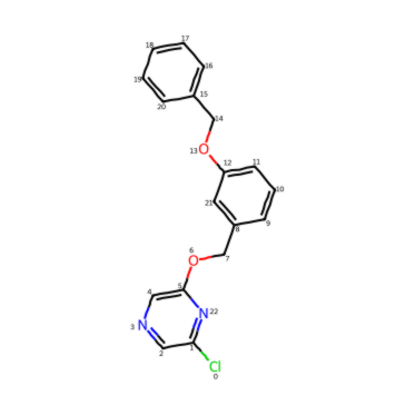 Clc1cncc(OCc2cccc(OCc3ccccc3)c2)n1